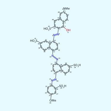 CNc1ccc2c(O)c(N=Nc3ccc(N=Nc4ccc(N=Nc5ccc(OC)cc5S(=O)(=O)O)c5ccc(S(=O)(=O)O)cc45)c4ccc(S(=O)(=O)O)cc34)c(S(=O)(=O)O)cc2c1